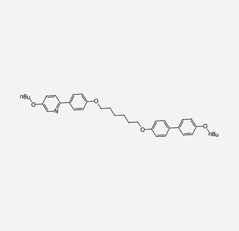 [CH2+][CH-]CCOc1ccc(-c2ccc(OCCCCCCOc3ccc(-c4ccc(OCCCC)cc4)cc3)cc2)nc1